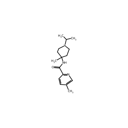 Cc1ccc(C(=O)NC2(C)CCN(C(C)C)CC2)nc1